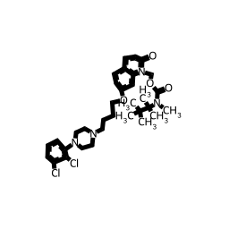 CN(C(=O)OCn1c(=O)ccc2ccc(OCCCCN3CCN(c4cccc(Cl)c4Cl)CC3)cc21)C(C)(C)C(C)(C)C